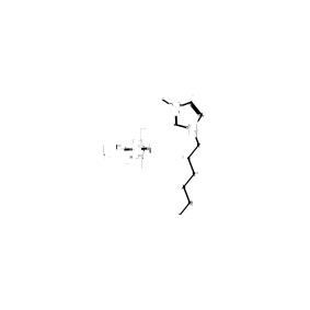 CCCCCCN1C=CN(C)C1.F[P-](F)(F)(F)(F)F.[H+]